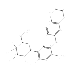 COc1cc(O)c([C@@H]2O[C@H](CO)C(F)(F)[C@H](O)[C@H]2O)cc1Cc1ccc2c(c1)CCCO2